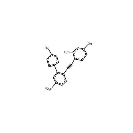 N#Cc1ccc(-c2cc(C(=O)O)ccc2C#Cc2ccc(O)cc2C(F)(F)F)cc1